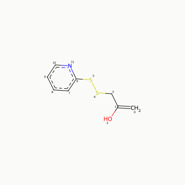 C=C(O)CSSc1ccccn1